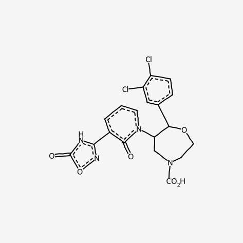 O=C(O)N1CCOC(c2ccc(Cl)c(Cl)c2)C(n2cccc(-c3noc(=O)[nH]3)c2=O)C1